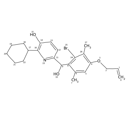 C=CCOc1cc(C)c(C(O)c2ccc(O)c(C3CCCCC3)n2)c(Br)c1C